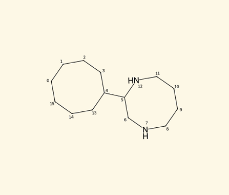 C1CCCC(C2CNCCCCN2)CCC1